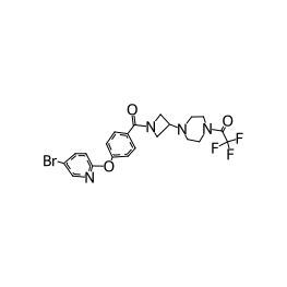 O=C(c1ccc(Oc2ccc(Br)cn2)cc1)N1CC(N2CCN(C(=O)C(F)(F)F)CC2)C1